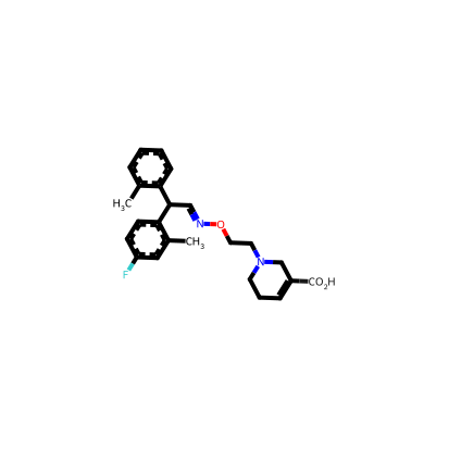 Cc1ccccc1C(C=NOCCN1CCC=C(C(=O)O)C1)c1ccc(F)cc1C